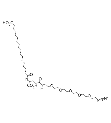 [N-]=[N+]=NCCOCCOCCOCCOCCOCCNC(=O)CCC(NC(=O)CCCCCCCCCCCCCCCCC(=O)O)C(=O)O